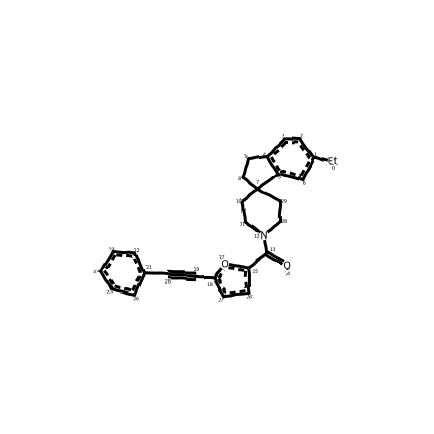 CCc1ccc2c(c1)C1(CC2)CCN(C(=O)c2ccc(C#Cc3ccccc3)o2)CC1